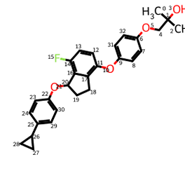 CC(C)(O)COc1ccc(Oc2ccc(F)c3c2CCC3Oc2ccc(C3CC3)cc2)cc1